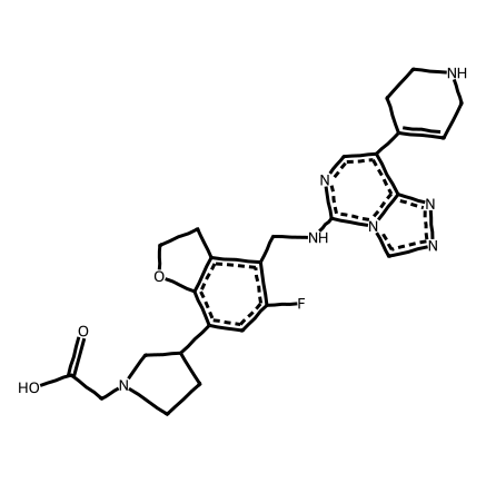 O=C(O)CN1CCC(c2cc(F)c(CNc3ncc(C4=CCNCC4)c4nncn34)c3c2OCC3)C1